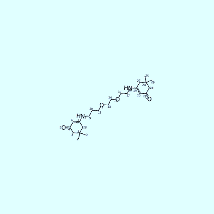 CC1(C)CC(=O)C=C(NCCCOCCOCCNC2=CC(=O)CC(C)(C)C2)C1